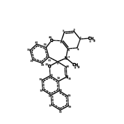 CC1C=CC2=C(C1)N(C)C1(C=Nc3c(ccc4ccccc34)O1)c1ccccc1O2